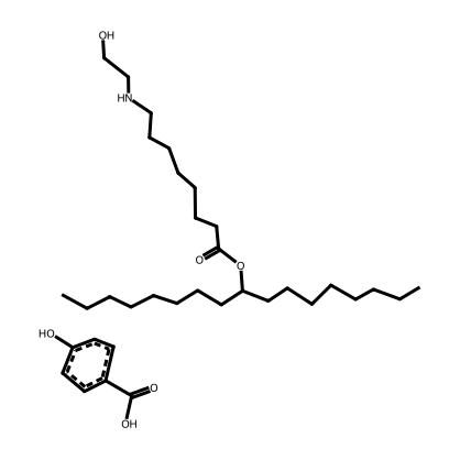 CCCCCCCCC(CCCCCCCC)OC(=O)CCCCCCCNCCO.O=C(O)c1ccc(O)cc1